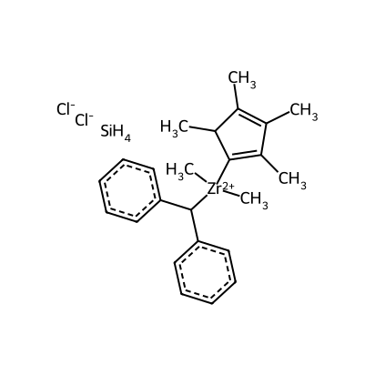 CC1=C(C)C(C)[C]([Zr+2]([CH3])([CH3])[CH](c2ccccc2)c2ccccc2)=C1C.[Cl-].[Cl-].[SiH4]